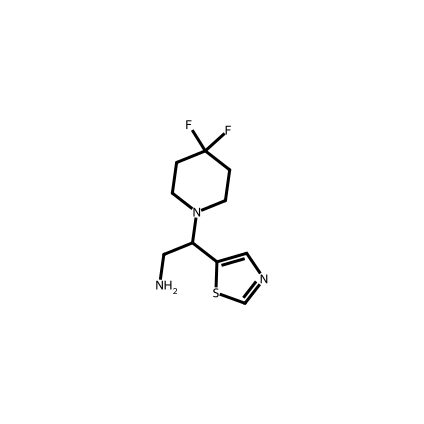 NCC(c1cncs1)N1CCC(F)(F)CC1